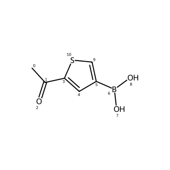 CC(=O)c1cc(B(O)O)cs1